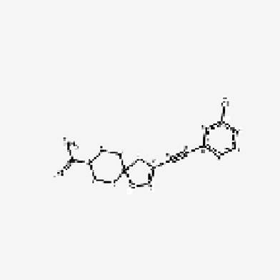 NC(=O)C1CCC2(CC1)CC(C#Cc1cccc(Cl)c1)=NO2